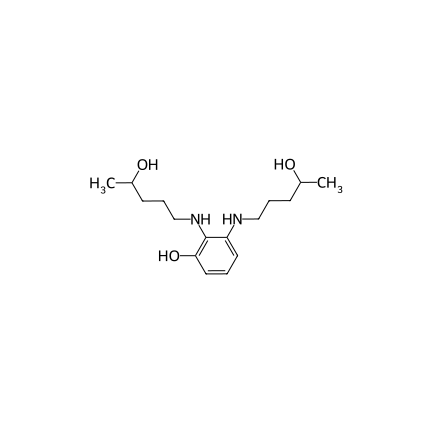 CC(O)CCCNc1cccc(O)c1NCCCC(C)O